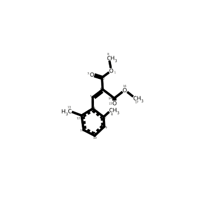 COC(=O)C(=Cc1c(C)cccc1C)C(=O)OC